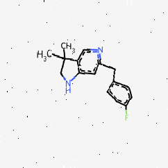 CC1(C)CNc2cc(Cc3ccc(F)cc3)ncc21